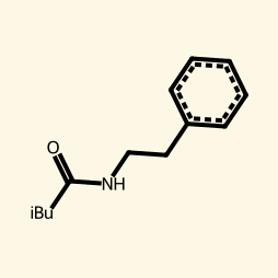 CCC(C)C(=O)NCCc1ccccc1